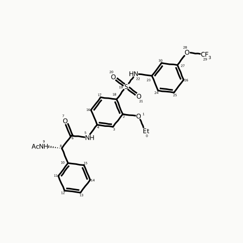 CCOc1cc(NC(=O)[C@@H](NC(C)=O)c2ccccc2)ccc1S(=O)(=O)Nc1cccc(OC(F)(F)F)c1